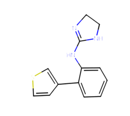 c1ccc(-c2ccsc2)c(NC2=NCCN2)c1